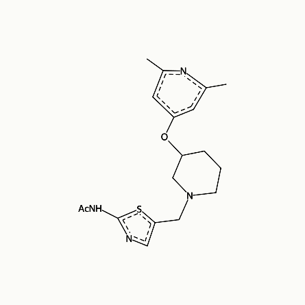 CC(=O)Nc1ncc(CN2CCCC(Oc3cc(C)nc(C)c3)C2)s1